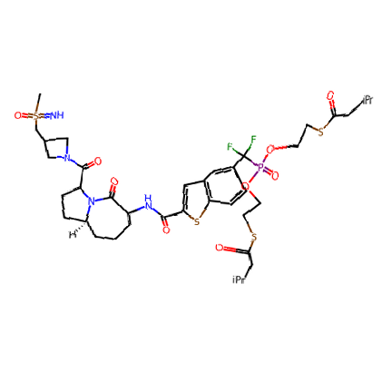 CC(C)CC(=O)SCCOP(=O)(OCCSC(=O)CC(C)C)C(F)(F)c1ccc2sc(C(=O)NC3CCC[C@H]4CCC(C(=O)N5CC(CS(C)(=N)=O)C5)N4C3=O)cc2c1